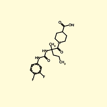 CCCC(C)(NC(=O)Nc1ccc(F)c(F)c1)C(=O)N1CCC(C(=O)O)CC1